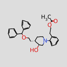 CC(=O)OCCc1ccccc1N1CC[C@@H](CCOC(c2ccccc2)c2ccccc2)[C@H](O)C1